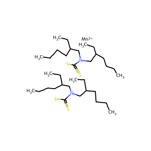 CCCCC(CC)CN(CC(CC)CCCC)C(=S)[S-].CCCCC(CC)CN(CC(CC)CCCC)C(=S)[S-].[Mn+2]